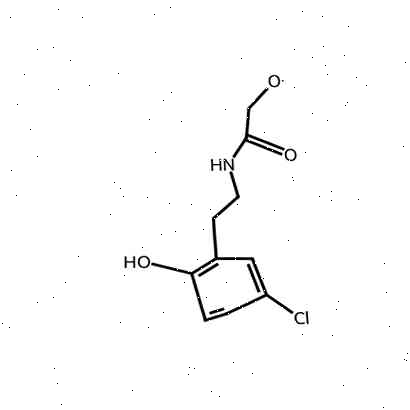 [O]CC(=O)NCCc1cc(Cl)ccc1O